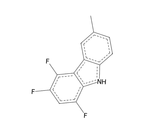 Cc1ccc2[nH]c3c(F)cc(F)c(F)c3c2c1